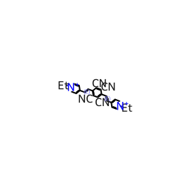 CC[n+]1ccc(/C=C/c2c(C#N)c(C#N)c(/C=C/c3cc[n+](CC)cc3)c(C#N)c2C#N)cc1